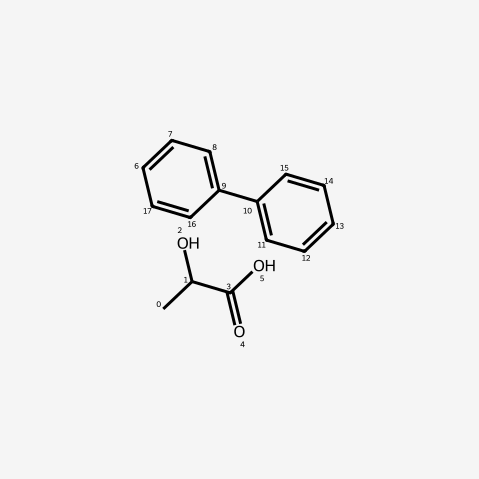 CC(O)C(=O)O.c1ccc(-c2ccccc2)cc1